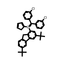 CC(C)(C)c1ccc2c(c1)-c1cc(C(C)(C)C)c[c]([Zr]([C]3=CC=CC3)=[C](c3cccc(Cl)c3)c3cccc(Cl)c3)c1C2